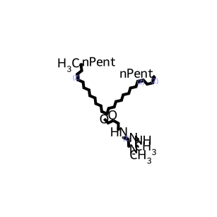 CCCCC/C=C\C/C=C\CCCCCCCCC1(CCCCCCCC/C=C\CC(C)CCCCC)OCC(CCN/C=C(/CN(C)C)N=N)O1